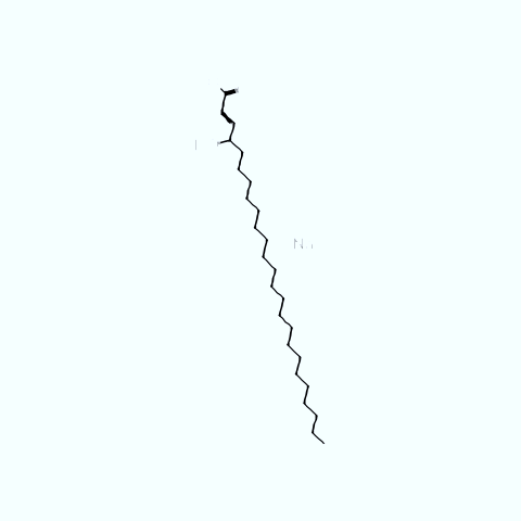 CCCCCCCCCCCCCCCCCCCCCC(O)C=CC(=O)[O-].[Na+]